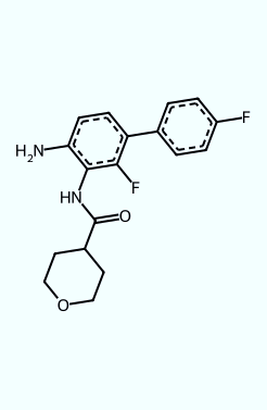 Nc1ccc(-c2ccc(F)cc2)c(F)c1NC(=O)C1CCOCC1